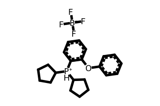 F[B-](F)(F)F.c1ccc(Oc2ccccc2[PH+](C2CCCC2)C2CCCC2)cc1